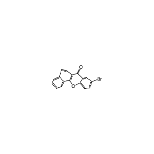 O=c1c2cc(Br)ccc2oc2c1ccc1ccccc12